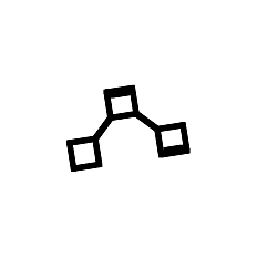 C1=CC(C2C=CC2C2CCC2)C1